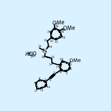 COc1ccc(C#Cc2ccccc2)c(CCCN(C)CCc2ccc(OC)c(OC)c2)c1.Cl.O